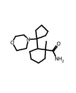 CC1(C(N)=O)CCCCC1C1(N2CCOCC2)CCCC1